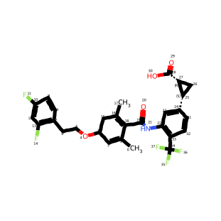 CC1=CC(OCCc2ccc(F)cc2F)CC(C)=C1C(=O)Nc1cc([C@H]2C[C@H]2C(=O)O)ccc1C(F)(F)F